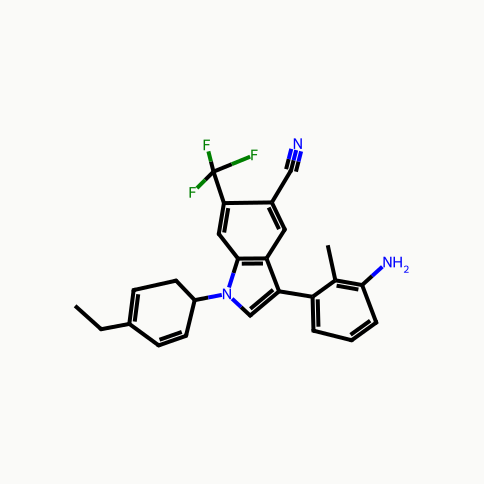 CCC1=CCC(n2cc(-c3cccc(N)c3C)c3cc(C#N)c(C(F)(F)F)cc32)C=C1